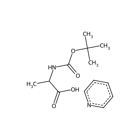 CC(NC(=O)OC(C)(C)C)C(=O)O.c1ccncc1